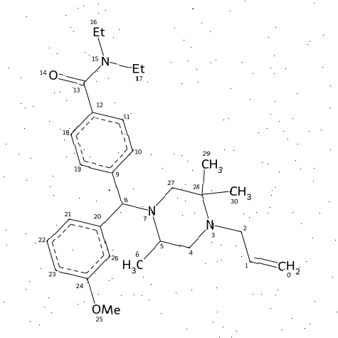 C=CCN1CC(C)N(C(c2ccc(C(=O)N(CC)CC)cc2)c2cccc(OC)c2)CC1(C)C